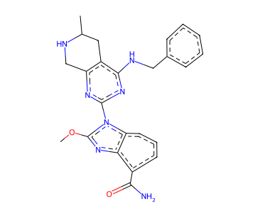 COc1nc2c(C(N)=O)cccc2n1-c1nc2c(c(NCc3ccccc3)n1)CC(C)NC2